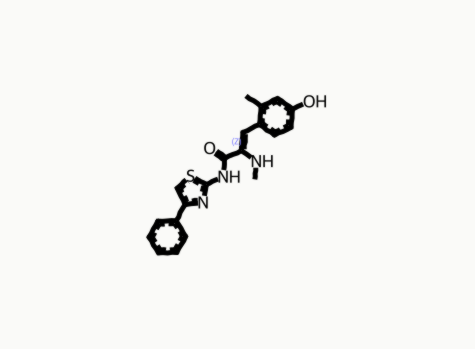 CN/C(=C\c1ccc(O)cc1C)C(=O)Nc1nc(-c2ccccc2)cs1